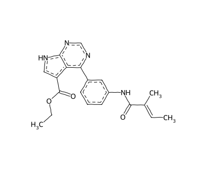 C/C=C(\C)C(=O)Nc1cccc(-c2ncnc3[nH]cc(C(=O)OCC)c23)c1